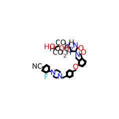 N#Cc1ccc(N2CCN(Cc3ccc(COc4cccc5c4CN(C(CCC(=O)O)C(N)=O)C5=O)cc3)CC2)c(F)c1.O=C(O)C(O)C(O)C(=O)O